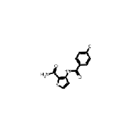 NC(=O)c1sccc1NC(=O)c1ccc(Cl)cc1